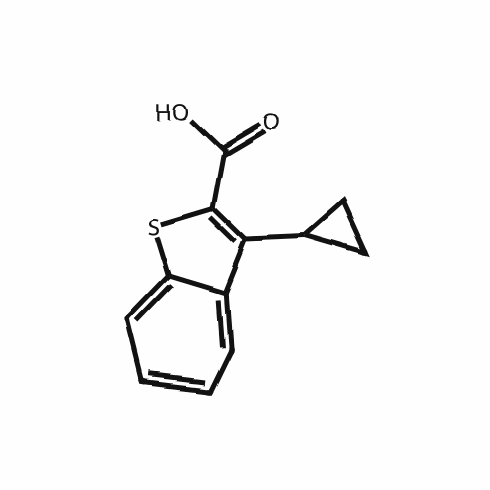 O=C(O)c1sc2ccccc2c1C1CC1